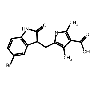 Cc1[nH]c(CC2C(=O)Nc3ccc(Br)cc32)c(C)c1C(=O)O